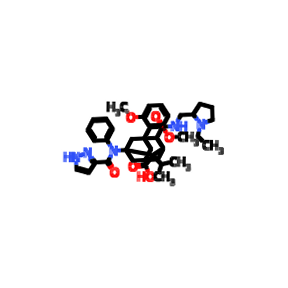 CCN1CCCC1CNC(=O)C1C2CC3CC1(c1c(OC)cccc1OC)CC(N(C(=O)c1cc[nH]n1)c1ccccc1)(C3)C2(C(=O)O)C(C)C